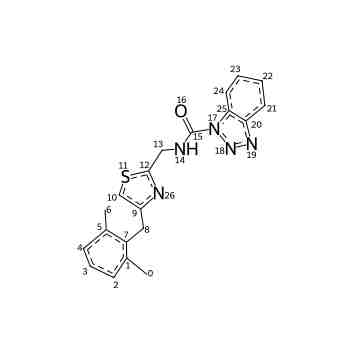 Cc1cccc(C)c1Cc1csc(CNC(=O)n2nnc3ccccc32)n1